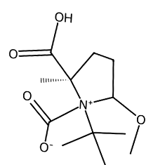 COC1CC[C@](C)(C(=O)O)[N+]1(C(=O)[O-])C(C)(C)C